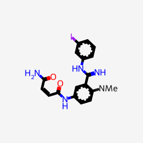 CNc1ccc(NC(=O)/C=C\C(N)=O)cc1C(=N)Nc1cccc(I)c1